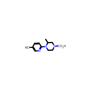 CC1CN(C(=O)O)CCN1c1ccc(C#N)cn1